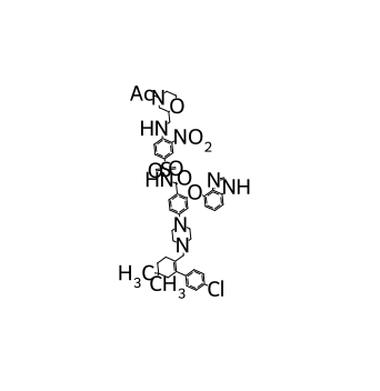 CC(=O)N1CCOC(CNc2ccc(S(=O)(=O)NC(=O)c3ccc(N4CCN(CC5=C(c6ccc(Cl)cc6)CC(C)(C)CC5)CC4)cc3Oc3cccc4[nH]cnc34)cc2[N+](=O)[O-])C1